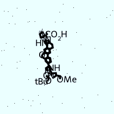 COCC1CC(c2ncc(-c3ccc4c(c3)COc3cc5c(cc3-4)CCc3nc([C@@H]4CC[C@H](C)N4C(=O)O)[nH]c3-5)[nH]2)N(C(=O)OC(C)(C)C)C1